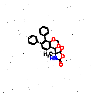 C[C@@]1(C2OCOc3c2ccc(-c2ccccc2)c3-c2ccccc2)NC(=O)OC1=O